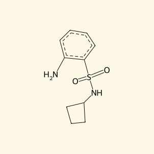 Nc1ccccc1S(=O)(=O)NC1CCC1